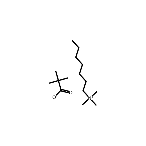 CC(C)(C)C(=O)[O-].CCCCCCC[N+](C)(C)C